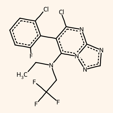 CCN(CC(F)(F)F)c1c(-c2c(F)cccc2Cl)c(Cl)nc2ncnn12